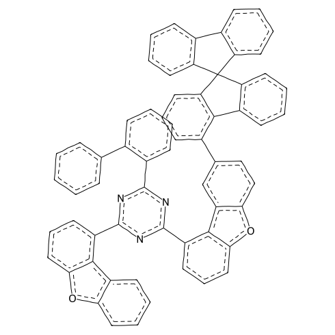 c1ccc(-c2ccccc2-c2nc(-c3cccc4oc5ccccc5c34)nc(-c3cccc4oc5ccc(-c6cccc7c6-c6ccccc6C76c7ccccc7-c7ccccc76)cc5c34)n2)cc1